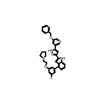 Fc1cc(OCCN2CCCC2)cc(-c2cccc3[nH]c(-c4cc(-c5cncc(OCc6ccccc6)c5)[nH]n4)cc23)c1